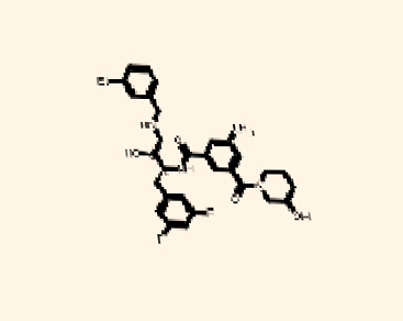 CCc1cccc(CNC[C@H](O)[C@H](Cc2cc(F)cc(F)c2)NC(=O)c2cc(C)cc(C(=O)N3CCCC(O)C3)c2)c1